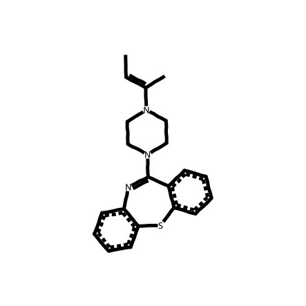 C/C=C(\C)N1CCN(C2=Nc3ccccc3Sc3ccccc32)CC1